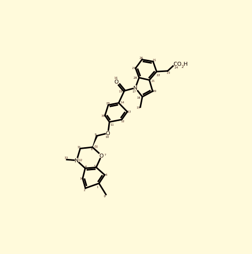 Cc1ccc2c(c1)O[C@H](COc1ccc(C(=O)n3c(C)cc4c(CC(=O)O)cccc43)cc1)CN2C